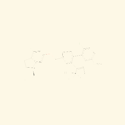 COc1ccc(F)c(-c2ccc(COc3cc(F)c4c(c3)[C@@H](CC(=O)O)CC4)cc2C2=CCCC2(C)C)c1